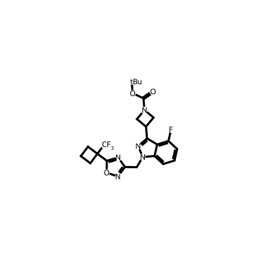 CC(C)(C)OC(=O)N1CC(c2nn(Cc3noc(C4(C(F)(F)F)CCC4)n3)c3cccc(F)c23)C1